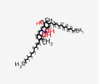 CCCCCCCCCCCCc1ccc(CC(Cc2ccc(CCCCCCCCCCCC)c(C)c2O)=NO)c(O)c1C